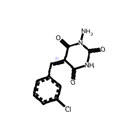 NN1C(=O)NC(=O)/C(=C\c2cccc(Cl)c2)C1=O